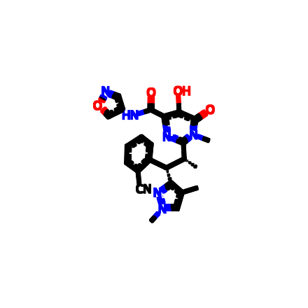 Cc1cn(C)nc1[C@H](c1ccccc1C#N)[C@@H](C)c1nc(C(=O)Nc2cnoc2)c(O)c(=O)n1C